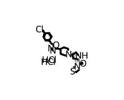 Cl.Cl.O=C([C@@H]1C[C@H](N2CCC(c3nnc(-c4ccc(Cl)cc4)o3)CC2)CN1)N1CCSC1